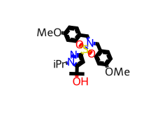 COc1ccc(CN(Cc2ccc(OC)cc2)S(=O)(=O)c2cc(C(C)(C)O)n(C(C)C)n2)cc1